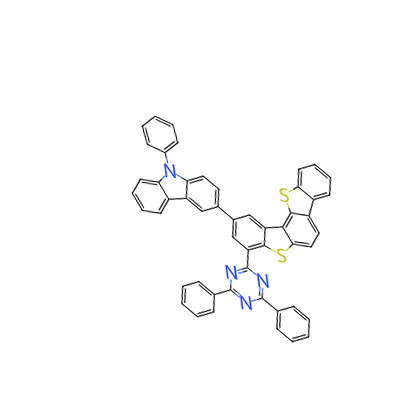 c1ccc(-c2nc(-c3ccccc3)nc(-c3cc(-c4ccc5c(c4)c4ccccc4n5-c4ccccc4)cc4c3sc3ccc5c6ccccc6sc5c34)n2)cc1